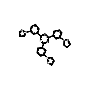 C1=NN(c2cccc(-c3nc(-c4cccc(-n5cccn5)c4)nc(-c4cccc(-n5cccn5)c4)n3)c2)CC1